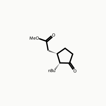 CCCC[C@H]1C(=O)CC[C@H]1CC(=O)OC